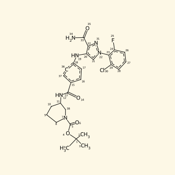 CC(C)(C)OC(=O)N1CCCC(NC(=O)c2ccc(Nc3cn(-c4c(F)cccc4Cl)nc3C(N)=O)cc2)C1